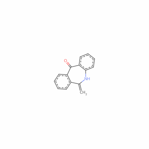 C=C1Nc2ccccc2C(=O)c2ccccc21